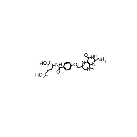 Nc1nc2c(c(=O)[nH]1)N=C(COc1ccc(C(=O)NC(CCC(=O)O)C(=O)O)cc1)CN2